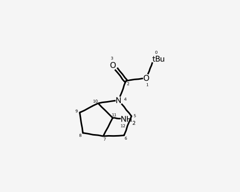 CC(C)(C)OC(=O)N1CCC2CCC1C2N